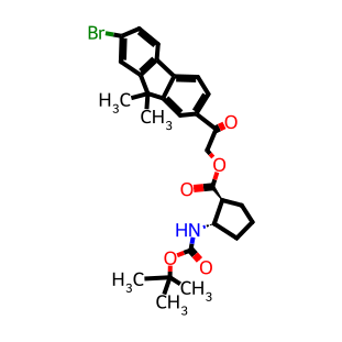 CC(C)(C)OC(=O)N[C@H]1CCC[C@@H]1C(=O)OCC(=O)c1ccc2c(c1)C(C)(C)c1cc(Br)ccc1-2